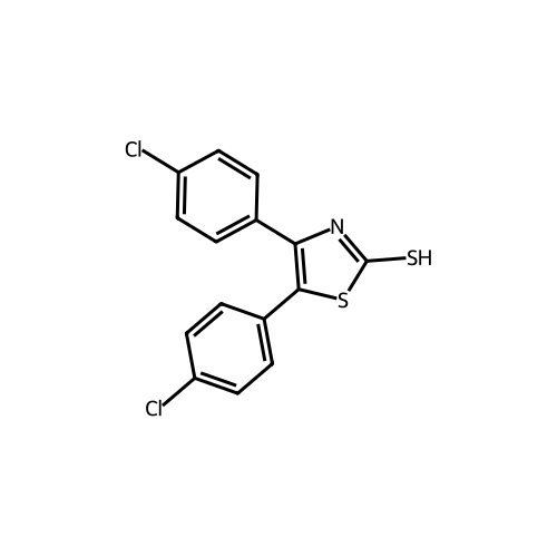 Sc1nc(-c2ccc(Cl)cc2)c(-c2ccc(Cl)cc2)s1